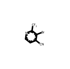 N#Cc1ccnc(C(F)(F)F)c1Br